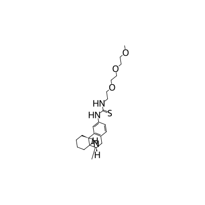 COCCOCCOCCNC(=S)Nc1ccc2c(c1)[C@@]13CCCC[C@H]1[C@@H](C2)N(C)CC3